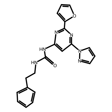 O=C(NCCc1ccccc1)Nc1cc(-n2cccn2)nc(-c2ccco2)n1